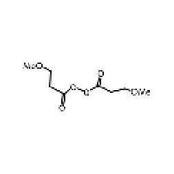 COCCC(=O)OOC(=O)CCOC